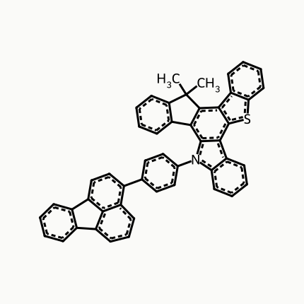 CC1(C)c2ccccc2-c2c1c1c3ccccc3sc1c1c3ccccc3n(-c3ccc(-c4ccc5c6c(cccc46)-c4ccccc4-5)cc3)c21